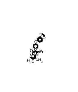 Cc1cnn2c(=O)c(N3CCC(Oc4ccc5c(c4)OCCO5)CC3)c(C(C)C)nc2c1C